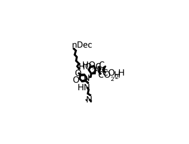 CCCCCCCCCCCCCCCCCCOc1cn(CC2CCCCC2)c(CNCCCN(C)C)cc1=O.O=C(O)/C=C/C(=O)O.O=C(O)/C=C/C(=O)O